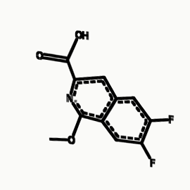 COc1nc(C(=O)O)cc2cc(F)c(F)cc12